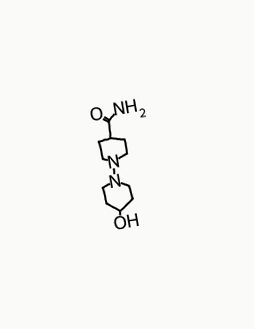 NC(=O)C1CCN(N2CCC(O)CC2)CC1